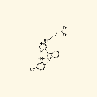 CCc1ccc(C)c(Nc2nc3ccccc3n2-c2cc(NCCCCN(CC)CC)ncn2)c1